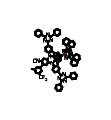 [C-]#[N+]c1cc(-n2c3ccc(-c4nc(-c5ccccc5)nc(-c5ccccc5)n4)cc3c3cc(-c4nc(-c5ccccc5)nc(-c5ccccc5)n4)ccc32)c(-n2c3ccc(-c4nc(-c5ccccc5)nc(-c5ccccc5)n4)cc3c3cc(-c4nc(-c5ccccc5)nc(-c5ccccc5)n4)ccc32)cc1-c1cc(C)cc(C(F)(F)F)c1